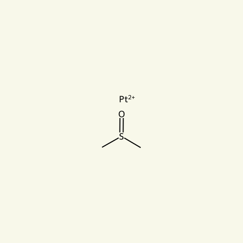 CS(C)=O.[Pt+2]